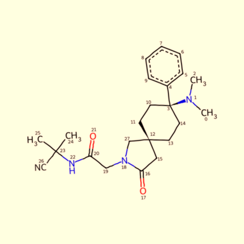 CN(C)[C@]1(c2ccccc2)CC[C@@]2(CC1)CC(=O)N(CC(=O)NC(C)(C)C#N)C2